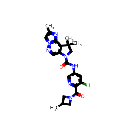 Cc1cn2ncc3c(c2n1)C(C)(C)CN3C(=O)Nc1cnc(C(=O)N2CC(C)C2)c(Cl)c1